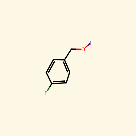 Fc1ccc(COI)cc1